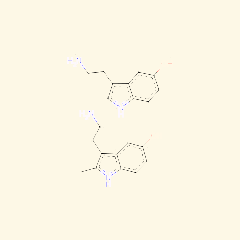 Cc1[nH]c2ccc(O)cc2c1CCN.NCCc1c[nH]c2ccc(O)cc12